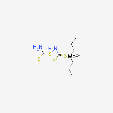 CC[CH2][Mo+2][CH2]CC.NC(=S)[S-].NC(=S)[S-]